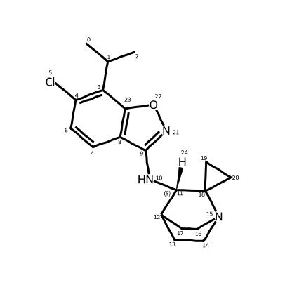 CC(C)c1c(Cl)ccc2c(N[C@H]3C4CCN(CC4)C34CC4)noc12